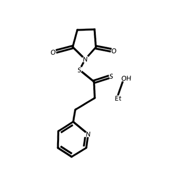 CCO.O=C1CCC(=O)N1SC(=S)CCc1ccccn1